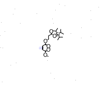 COC(=O)/C=C\C(=O)OCCC(=O)O[Si](C(C)C)(C(C)C)C(C)C